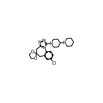 Clc1ccc2c(c1)CC1(Cc3nnc(N4CCC(N5CCCCC5)CC4)n3-2)OCCO1